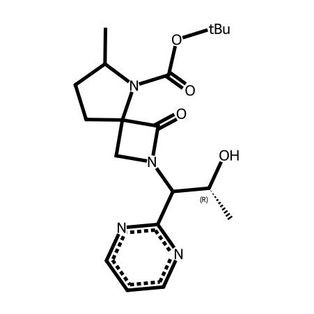 CC1CCC2(CN(C(c3ncccn3)[C@@H](C)O)C2=O)N1C(=O)OC(C)(C)C